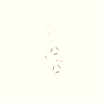 CC(=O)Nc1ccc(S(=O)(=O)Nc2ccc(NCCC3CCOCC3)c(NC(=O)C(C)(C)C)c2)cc1